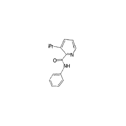 CC(C)c1cccnc1C(=O)Nc1ccccc1